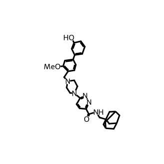 COc1cc(-c2cccc(O)c2)ccc1CN1CCN(c2ccc(C(=O)NCC34CC5CC(CC(C5)C3)C4)nn2)CC1